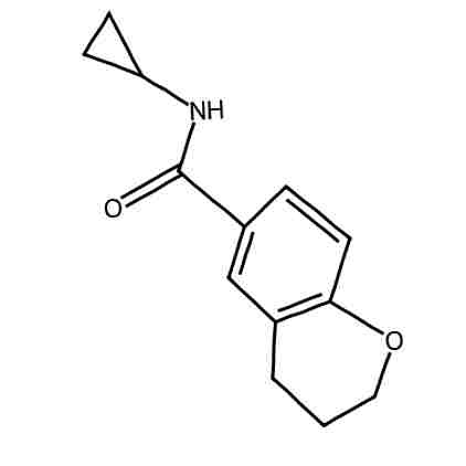 O=C(NC1CC1)c1ccc2c(c1)CCCO2